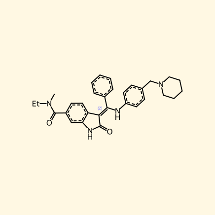 CCN(C)C(=O)c1ccc2c(c1)NC(=O)/C2=C(\Nc1ccc(CN2CCCCC2)cc1)c1ccccc1